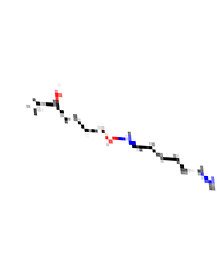 CC(=O)CCCCO/N=C/CCCCC=N